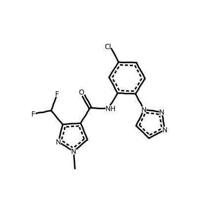 Cn1cc(C(=O)Nc2cc(Cl)ccc2-n2ccnn2)c(C(F)F)n1